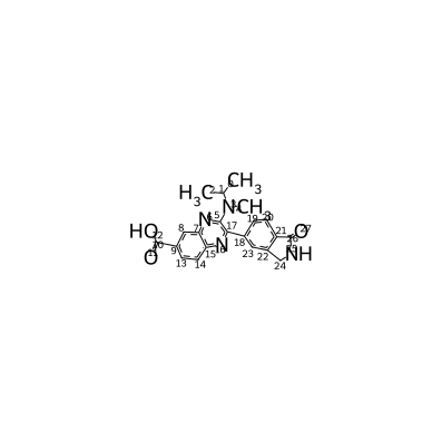 CC(C)N(C)c1nc2cc(C(=O)O)ccc2nc1-c1ccc2c(c1)CNC2=O